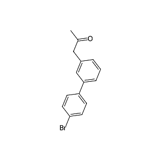 CC(=O)Cc1cccc(-c2ccc(Br)cc2)c1